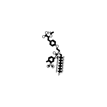 CCOC(Cc1ccc(OCCN(CC(F)(F)C(F)(F)C(F)(F)C(F)(F)C(F)(F)C(F)(F)F)C(=O)Nc2ccc(C)c([N+](=O)[O-])c2)cc1)C(=O)O